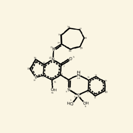 O=c1c(C2=NS(O)(O)c3ccccc3N2)c(O)c2sccc2n1N=C1CCCCCC1